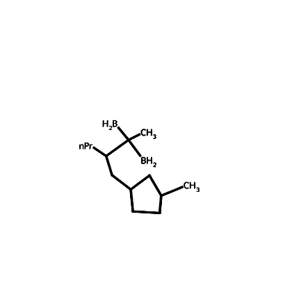 BC(B)(C)C(CCC)CC1CCC(C)C1